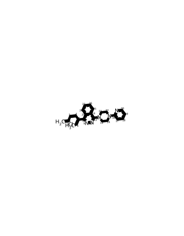 C=C(Cl)/C=C\C(=C/C)c1nnc(N2CCN(c3ccccn3)CC2)c2ccccc12